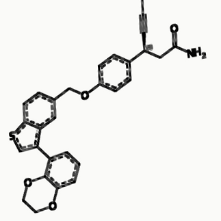 CC#C[C@@H](CC(N)=O)c1ccc(OCc2ccc3scc(-c4cccc5c4OCCO5)c3c2)cc1